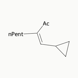 CCCCCC(=CC1CC1)C(C)=O